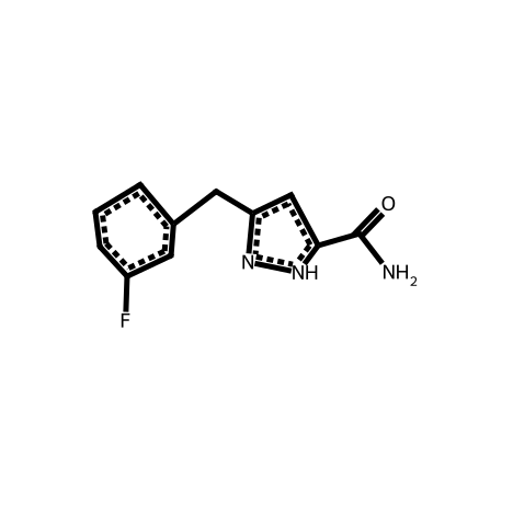 NC(=O)c1cc(Cc2cccc(F)c2)n[nH]1